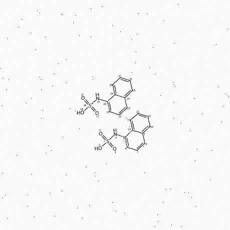 O=S(=O)(O)Nc1cccc2ccccc12.O=S(=O)(O)Nc1cccc2ccccc12